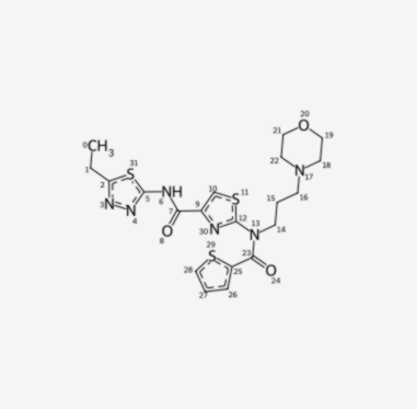 CCc1nnc(NC(=O)c2csc(N(CCCN3CCOCC3)C(=O)c3cccs3)n2)s1